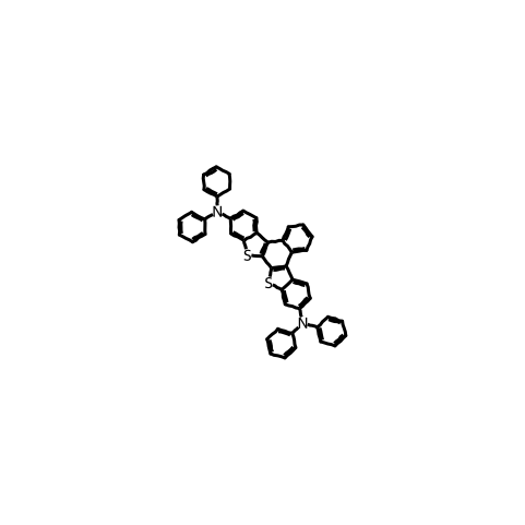 C1=CCCC(N(c2ccccc2)c2ccc3c(c2)sc2c4sc5cc(N(c6ccccc6)c6ccccc6)ccc5c4c4ccccc4c32)=C1